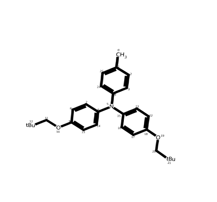 Cc1ccc(N(c2ccc(OCC(C)(C)C)cc2)c2ccc(OCC(C)(C)C)cc2)cc1